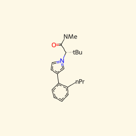 CCCc1ccccc1-c1ccn([C@H](C(=O)NC)C(C)(C)C)c1